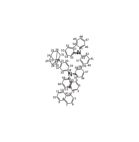 c1ccc(-c2cccc3cccc(-c4ccc(N(c5ccc(C67CC8CC(CC(C8)C6)C7)cc5)c5cccc(-c6cccc(-n7c8ccccc8c8ccccc87)c6)c5)cc4)c23)cc1